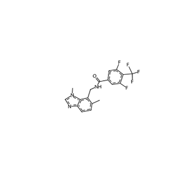 Cc1ccc2ncn(C)c2c1CNC(=O)c1cc(F)c(C(F)(F)F)c(F)c1